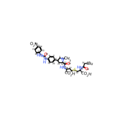 CN1CC(c2ccc(NC(=O)Nc3ccc([N+](=O)[O-])cc3)cc2)CC1C(=O)NC(CCSCC(NC(=O)CC(C)(C)C)C(=O)O)C(=O)O